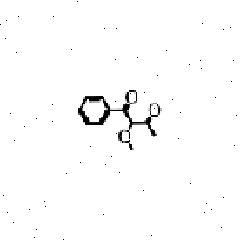 COC(C(C)=O)C(=O)c1ccccc1